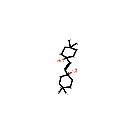 CC1(C)CCC(O)(/C=C/C2(O)CCC(C)(C)CC2)CC1